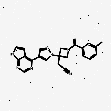 Cc1cccc(C(=O)N2CC(CC#N)(n3cc(-c4ncnc5[nH]ccc45)cn3)C2)c1